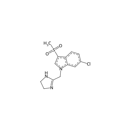 CS(=O)(=O)c1cn(CC2=NCCN2)c2cc(Cl)ccc12